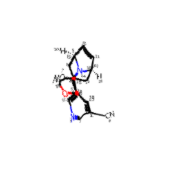 N#Cc1cncc([C@@]2(C#N)C[C@H]3C=C[C@@H](C2)N3C2COC2)c1